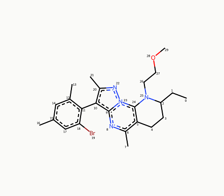 CCC1CCc2c(C)nc3c(-c4c(C)cc(C)cc4Br)c(C)nn3c2N1CCOC